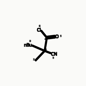 CCCCC(C)(C#N)C(=O)Cl